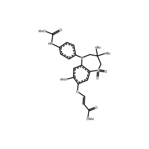 CCCCC1(CCCC)CN(c2ccc(NC(=O)OC)cc2)c2cc(SC)c(O/C=C/C(=O)OC)cc2S(=O)(=O)C1